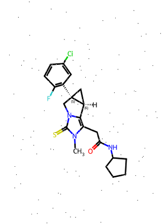 Cn1c(CC(=O)NC2CCCC2)c2n(c1=S)C[C@@]1(c3cc(Cl)ccc3F)C[C@@H]21